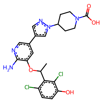 CC(Oc1cc(-c2cnn(C3CCN(C(=O)O)CC3)c2)cnc1N)c1c(Cl)ccc(O)c1Cl